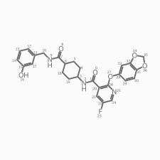 O=C(NC1CCC(C(=O)NCc2cccc(O)c2)CC1)c1cc(F)cnc1Oc1ccc2c(c1)OCO2